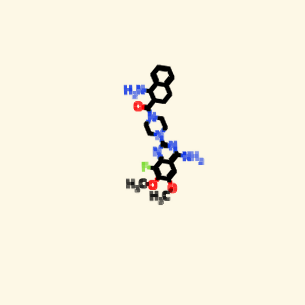 COc1cc2c(N)nc(N3CCN(C(=O)C4CCc5ccccc5C4N)CC3)nc2c(F)c1OC